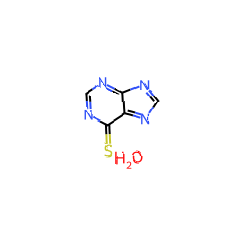 O.S=C1N=CN=C2N=CN=C12